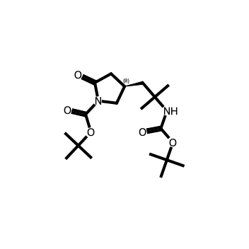 CC(C)(C[C@@H]1CC(=O)N(C(=O)OC(C)(C)C)C1)NC(=O)OC(C)(C)C